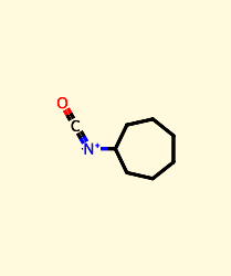 O=C=[N+]C1CCCCCC1